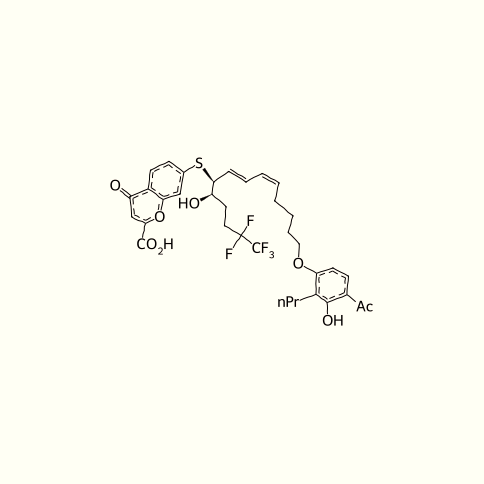 CCCc1c(OCCCC/C=C\C=C\[C@H](Sc2ccc3c(=O)cc(C(=O)O)oc3c2)[C@H](O)CCC(F)(F)C(F)(F)F)ccc(C(C)=O)c1O